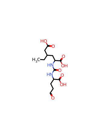 CCC(CC(=O)O)CC(NC(=O)NC(CCC=O)C(=O)O)C(=O)O